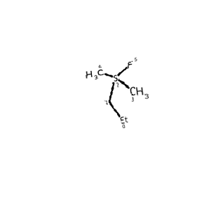 CCCS(C)(C)F